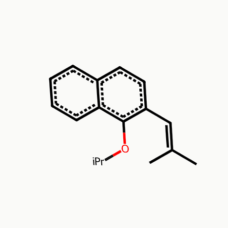 CC(C)=Cc1ccc2ccccc2c1OC(C)C